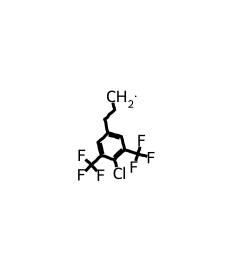 [CH2]CCc1cc(C(F)(F)F)c(Cl)c(C(F)(F)F)c1